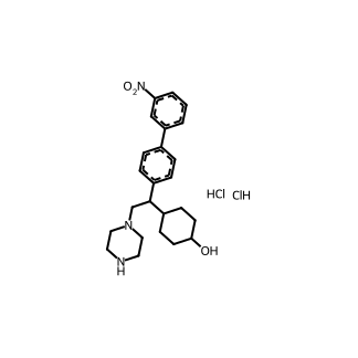 Cl.Cl.O=[N+]([O-])c1cccc(-c2ccc(C(CN3CCNCC3)C3CCC(O)CC3)cc2)c1